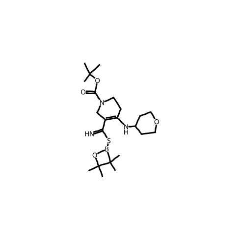 CC(C)(C)OC(=O)N1CCC(NC2CCOCC2)=C(C(=N)SB2OC(C)(C)C2(C)C)C1